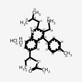 CCC(SC(C)=O)c1ccc2nc(CC(C)C)c(CN)c(-c3ccc(C)cc3)c2c1.Cl.Cl